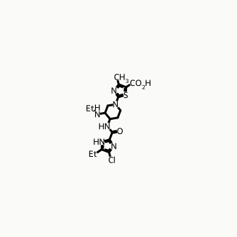 CCNC1CN(c2nc(C)c(C(=O)O)s2)CCC1NC(=O)c1nc(Cl)c(CC)[nH]1